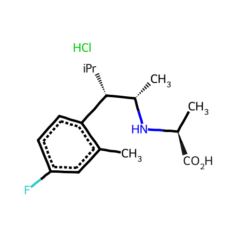 Cc1cc(F)ccc1[C@H](C(C)C)[C@H](C)N[C@@H](C)C(=O)O.Cl